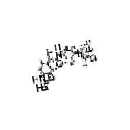 Cc1cc(NC(=O)Nc2ccc3[nH]c(S)nc3c2)ccc1N1CC(C)(C)C(=O)N1